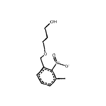 Cc1cccc(COCCCO)c1[N+](=O)[O-]